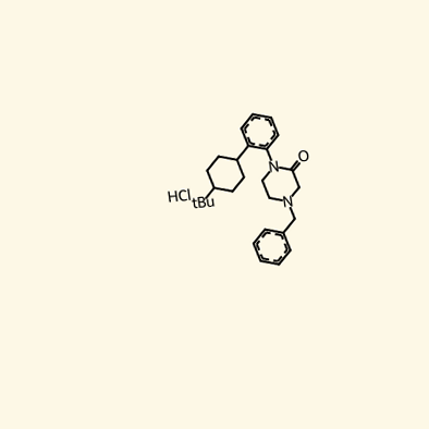 CC(C)(C)C1CCC(c2ccccc2N2CCN(Cc3ccccc3)CC2=O)CC1.Cl